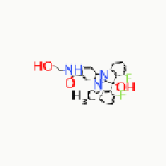 CCn1c(C(O)(c2ccccc2F)c2ccccc2F)nc2ccc(C(=O)NCCO)cc21